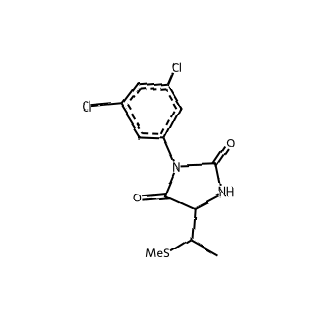 CSC(C)C1NC(=O)N(c2cc(Cl)cc(Cl)c2)C1=O